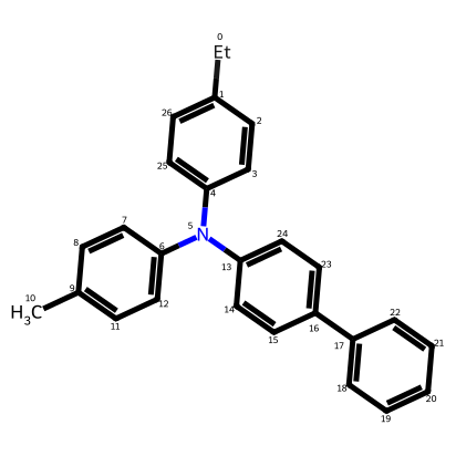 CCc1ccc(N(c2ccc(C)cc2)c2ccc(-c3ccccc3)cc2)cc1